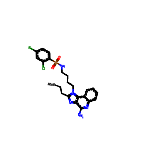 COCCc1nc2c(N)nc3ccccc3c2n1CCCCNS(=O)(=O)c1ccc(F)cc1Cl